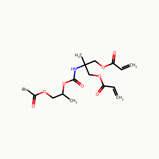 C=CC(=O)OCC(C)(COC(=O)C=C)NC(=O)OC(C)COC(=O)C(C)CC